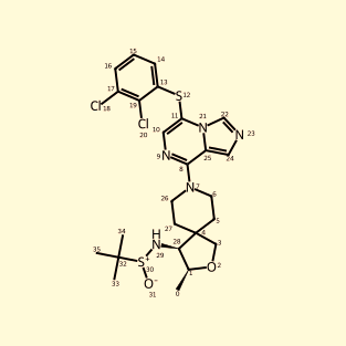 C[C@@H]1OCC2(CCN(c3ncc(Sc4cccc(Cl)c4Cl)n4cncc34)CC2)[C@@H]1N[S+]([O-])C(C)(C)C